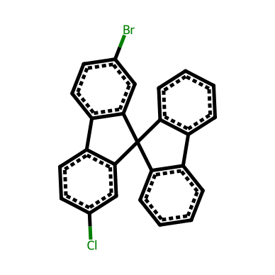 Clc1ccc2c(c1)C1(c3ccccc3-c3ccccc31)c1cc(Br)ccc1-2